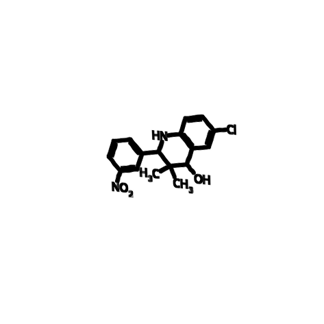 CC1(C)C(O)c2cc(Cl)ccc2NC1c1cccc([N+](=O)[O-])c1